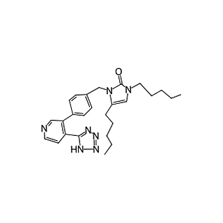 CCCCCc1cn(CCCCC)c(=O)n1Cc1ccc(-c2cnccc2-c2nnn[nH]2)cc1